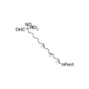 CCCCC/C=C/C/C=C/C/C=C/CCCCCC([C]=O)([N+](=O)[O-])[N+](=O)[O-]